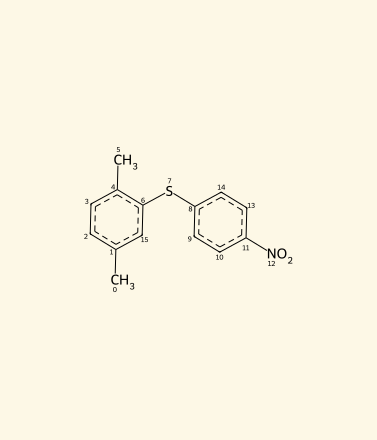 Cc1ccc(C)c(Sc2ccc([N+](=O)[O-])cc2)c1